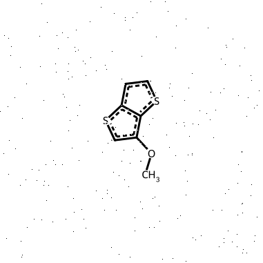 COc1[c]sc2c[c]sc12